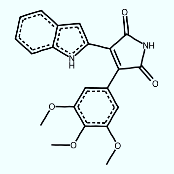 COc1cc(C2=C(c3cc4ccccc4[nH]3)C(=O)NC2=O)cc(OC)c1OC